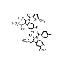 COc1cc2c(CC(=O)O)c(C)n(C(=O)c3ccc(F)cc3)c2cc1F.Cc1ccc(C(=O)n2c(C)c(C(C)C(=O)O)c3cc(O)c(F)cc32)s1